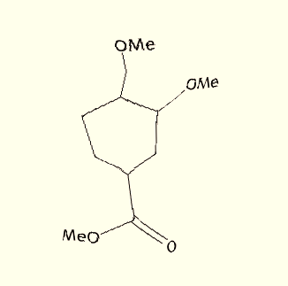 COC(=O)C1CCC(OC)C(OC)C1